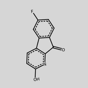 O=C1c2ccc(F)cc2-c2ccc(O)nc21